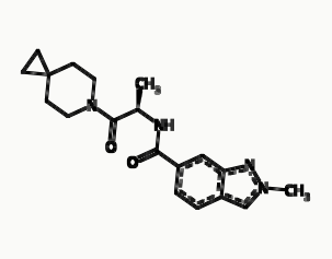 C[C@@H](NC(=O)c1ccc2cn(C)nc2c1)C(=O)N1CCC2(CC1)CC2